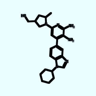 CC1CC(CO)CN1c1cc(-c2ccc3c(c2)ncn3C2CCCCC2)c([N+](=O)[O-])c(N)n1